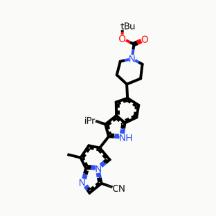 Cc1cc(-c2[nH]c3ccc(C4CCN(C(=O)OC(C)(C)C)CC4)cc3c2C(C)C)cn2c(C#N)cnc12